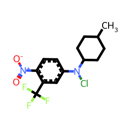 CC1CCC(N(Cl)c2ccc([N+](=O)[O-])c(C(F)(F)F)c2)CC1